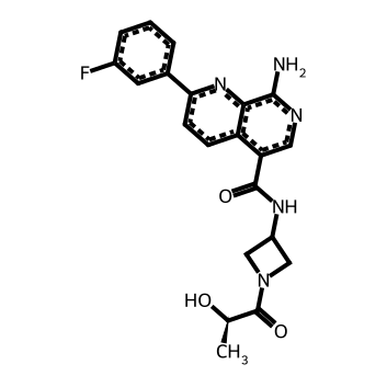 C[C@@H](O)C(=O)N1CC(NC(=O)c2cnc(N)c3nc(-c4cccc(F)c4)ccc23)C1